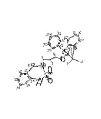 CC(C)(C)[Si](OCCCN1Cc2ccccc2NS1(=O)=O)(c1ccccc1)c1ccccc1